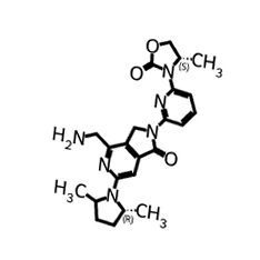 CC1CC[C@@H](C)N1c1cc2c(c(CN)n1)CN(c1cccc(N3C(=O)OC[C@@H]3C)n1)C2=O